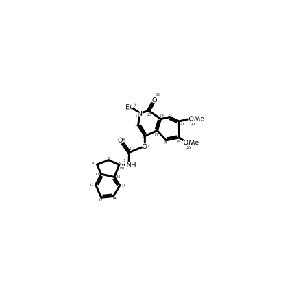 CCn1cc(OC(=O)N[C@H]2CCc3ccccc32)c2cc(OC)c(OC)cc2c1=O